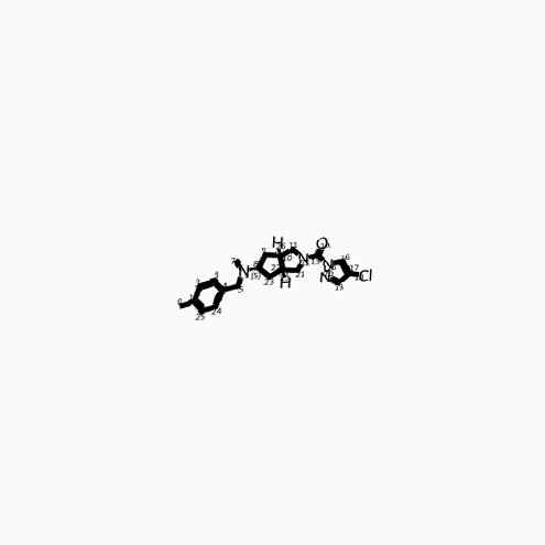 Cc1ccc(CN(C)[C@H]2C[C@@H]3CN(C(=O)n4cc(Cl)cn4)C[C@@H]3C2)cc1